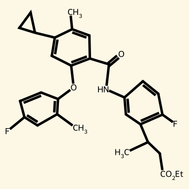 CCOC(=O)CC(C)c1cc(NC(=O)c2cc(C)c(C3CC3)cc2Oc2ccc(F)cc2C)ccc1F